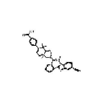 CCn1c(-c2ccccc2C(=O)N2CC=C3C(C)(C)C(c4ccc(C(=O)O)cc4)=CC[C@]3(C)C2)nc2cc(C#N)ccc21